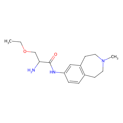 CCOCC(N)C(=O)Nc1ccc2c(c1)CCN(C)CC2